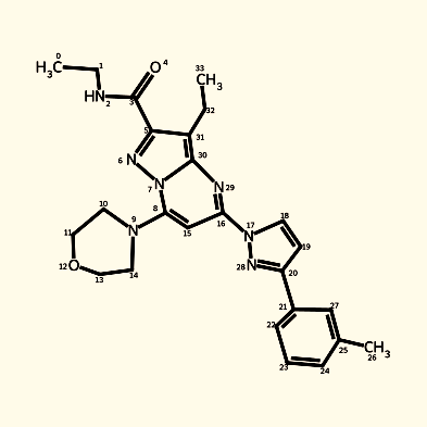 CCNC(=O)c1nn2c(N3CCOCC3)cc(-n3ccc(-c4cccc(C)c4)n3)nc2c1CC